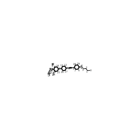 CCCCSc1ccc(C#Cc2ccc(-c3cc(F)c(N=C=S)c(F)c3)cc2)cc1